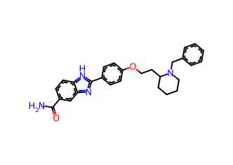 NC(=O)c1ccc2[nH]c(-c3ccc(OCCC4CCCCN4Cc4ccccc4)cc3)nc2c1